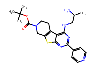 C[C@H](N)CNc1nc(-c2ccncc2)nc2sc3c(c12)CCN(C(=O)OC(C)(C)C)C3